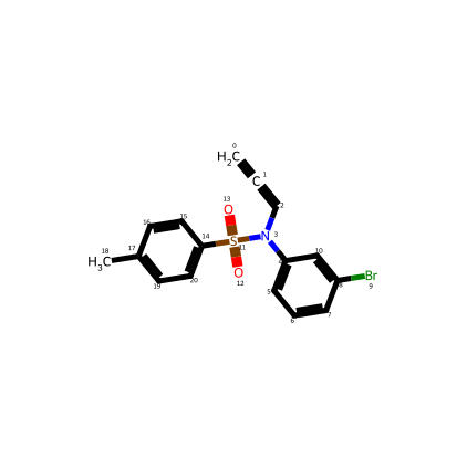 C=C=CN(c1cccc(Br)c1)S(=O)(=O)c1ccc(C)cc1